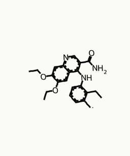 [CH2]c1cccc(Nc2c(C(N)=O)cnc3cc(OCC)c(OCC)cc23)c1CC